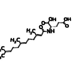 CC(C)=CCC/C(C)=C/CC/C(C)=C/C(=O)N[C@@H](CCC(=O)O)C(=O)O